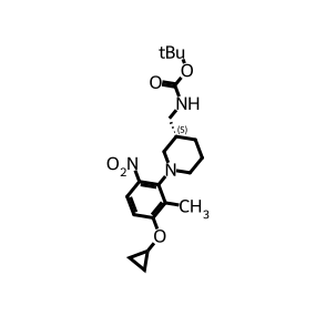 Cc1c(OC2CC2)ccc([N+](=O)[O-])c1N1CCC[C@@H](CNC(=O)OC(C)(C)C)C1